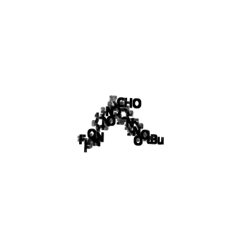 CN(Cc1ccc(-c2nnc(C(F)F)o2)cn1)C(=O)c1cc(N2CCN(C(=O)OC(C)(C)C)CC2)ccc1C(C)(C)C=O